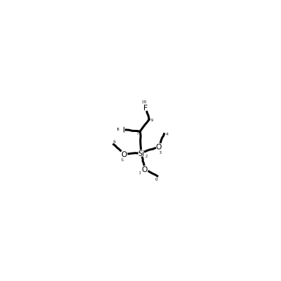 CO[Si](OC)(OC)C(I)CF